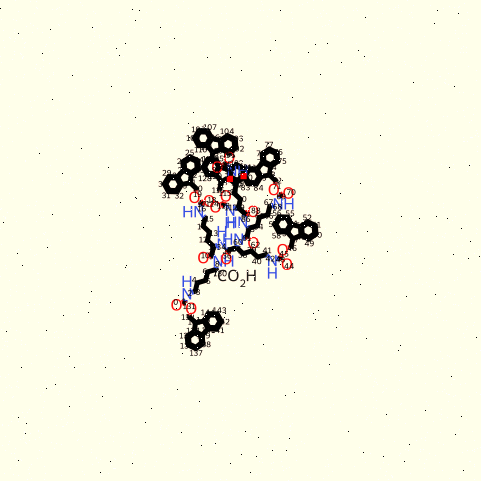 O=C(NCCCCC(NC(=O)C(CCCCNC(=O)OCC1c2ccccc2-c2ccccc21)NC(=O)C(CCCCNC(=O)OCC1c2ccccc2-c2ccccc21)NC(=O)C(CCCCNC(=O)OCC1c2ccccc2-c2ccccc21)NC(=O)C(CCCCNC(=O)OCC1c2ccccc2-c2ccccc21)NC(=O)OCC1c2ccccc2-c2ccccc21)C(=O)O)OCC1c2ccccc2-c2ccccc21